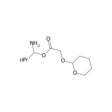 CCCC(N)OC(=O)COC1CCCCO1